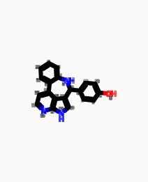 Oc1ccc(C2Nc3ccccc3-c3ccnc4[nH]cc2c34)cc1